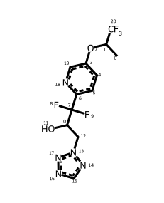 CC(Oc1ccc(C(F)(F)C(O)Cn2ncnn2)nc1)C(F)(F)F